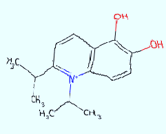 CC(C)c1ccc2c(O)c(O)ccc2[n+]1C(C)C